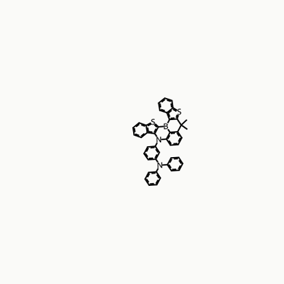 CC1(C)c2cccc3c2B(c2sc4ccccc4c2N3c2cccc(N(c3ccccc3)c3ccccc3)c2)c2c1sc1ccccc21